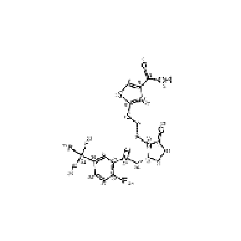 O=C(O)c1csc(SCCN2C(=O)CC[C@@H]2CNc2cc(C(F)(F)F)ccc2F)n1